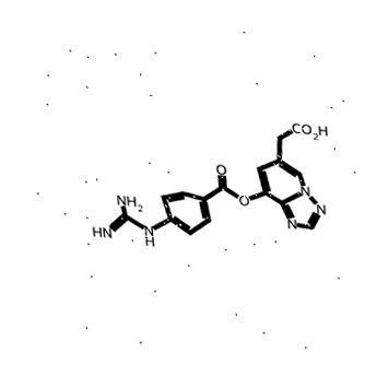 N=C(N)Nc1ccc(C(=O)Oc2cc(CC(=O)O)cn3ncnc23)cc1